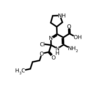 CCCCOC(=O)C1(Cl)N=C(C2CCNC2)C(C(=O)O)=C(N)N1